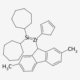 Cc1ccc2c(c1)[CH]([Zr]([C]1=CC=CC1)=[Si](C1CCCCCC1)C1CCCCCC1)c1cc(C)ccc1-2